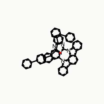 c1ccc(-c2ccc(-c3cc(-c4ccccc4)cc(-n4c5ccccc5c5ccc6c7ccccc7n(-c7nc(-c8ccccc8)nc(-c8ccccc8-c8ccccc8)n7)c6c54)c3)cc2)cc1